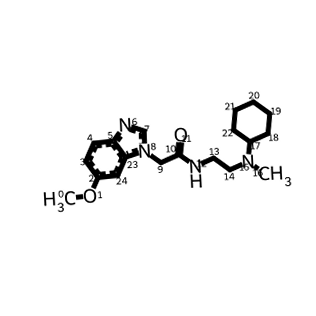 COc1ccc2ncn(CC(=O)NCCN(C)C3CCCCC3)c2c1